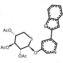 CC(=O)O[C@@H]1[C@@H](OC(C)=O)[C@H](OC(C)=O)CS[C@H]1Oc1cncc(-c2cc3ccccc3s2)c1